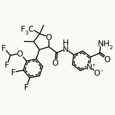 CC1C(c2ccc(F)c(F)c2OC(F)F)C(C(=O)Nc2cc[n+]([O-])c(C(N)=O)c2)OC1(C)C(F)(F)F